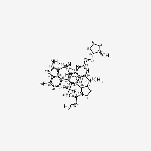 C=CC(=O)N1CCC(N(C)c2nc(OC[C@@H]3CCCN3C)nc3c(F)c(-c4ccc(F)c5sc(N)c(C#N)c45)c(C(F)(F)F)cc23)C1COC